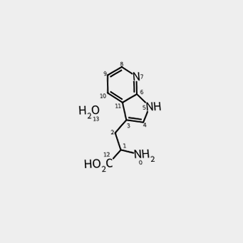 NC(Cc1c[nH]c2ncccc12)C(=O)O.O